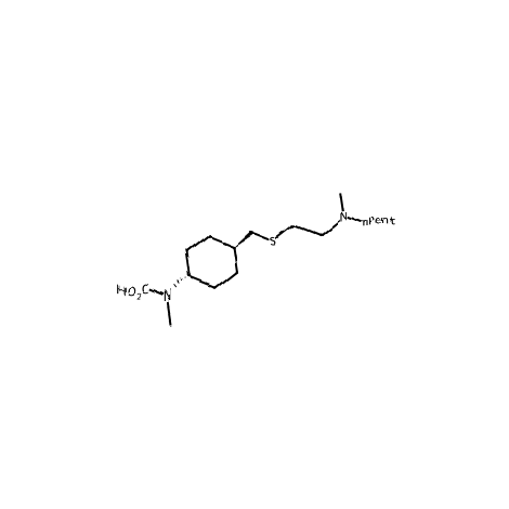 CCCCCN(C)CCSC[C@H]1CC[C@H](N(C)C(=O)O)CC1